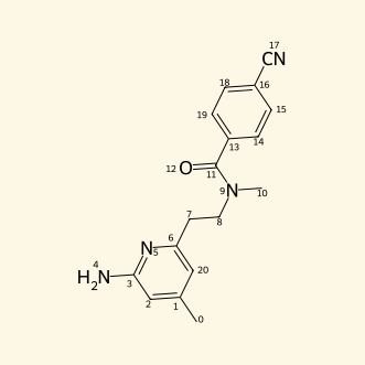 Cc1cc(N)nc(CCN(C)C(=O)c2ccc(C#N)cc2)c1